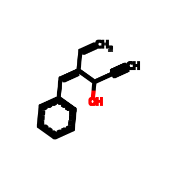 C#CC(O)C(C=C)=Cc1ccccc1